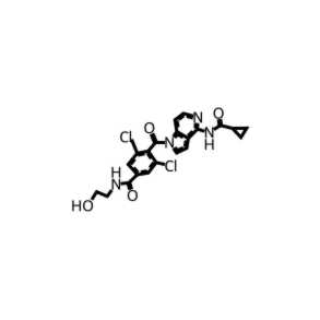 O=C(NCCO)c1cc(Cl)c(C(=O)n2ccc3c(NC(=O)C4CC4)nccc32)c(Cl)c1